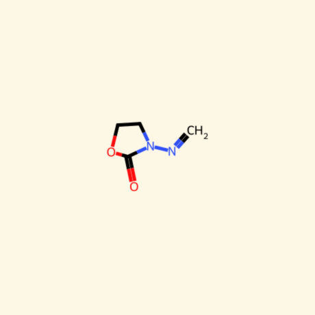 C=NN1CCOC1=O